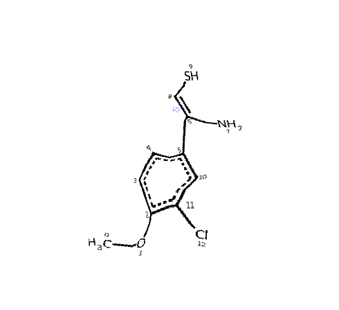 COc1ccc(/C(N)=C/S)cc1Cl